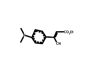 CCOC(=O)C=C(C#N)c1ccc(N(C)C)cc1